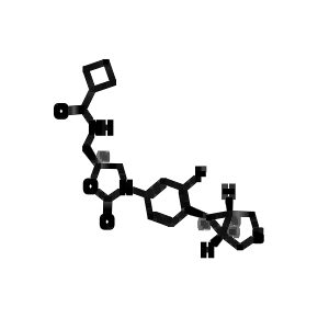 O=C(NC[C@H]1CN(c2ccc([C@H]3[C@@H]4CSC[C@@H]43)c(F)c2)C(=O)O1)C1CCC1